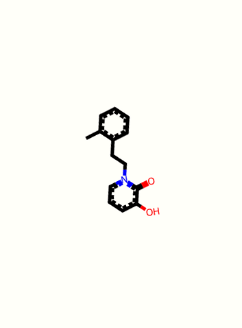 Cc1ccccc1CCn1cccc(O)c1=O